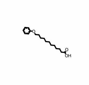 O=C(O)CCCCCCCCCCCOc1ccccc1